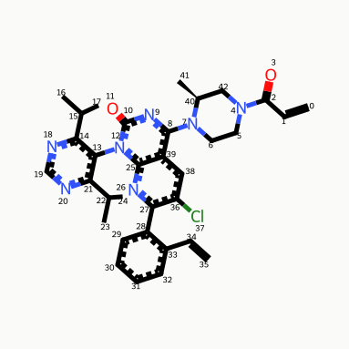 C=CC(=O)N1CCN(c2nc(=O)n(-c3c(C(C)C)ncnc3C(C)C)c3nc(-c4ccccc4C=C)c(Cl)cc23)[C@@H](C)C1